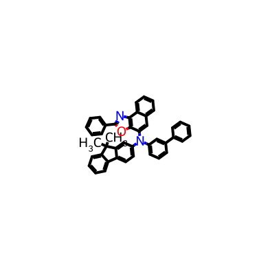 CC1(C)c2ccccc2-c2ccc(N(c3cccc(-c4ccccc4)c3)c3cc4ccccc4c4nc(-c5ccccc5)oc34)cc21